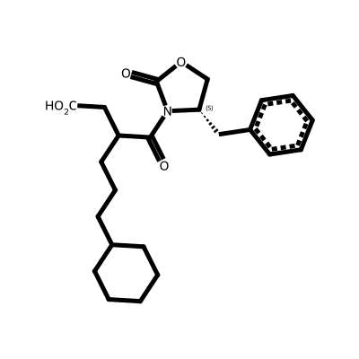 O=C(O)CC(CCCC1CCCCC1)C(=O)N1C(=O)OC[C@@H]1Cc1ccccc1